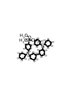 CO[Si](C)(C)c1ccc(N(c2ccccc2)c2cccc(-c3cccc(N(c4ccccc4)c4ccccc4)c3)c2)cc1